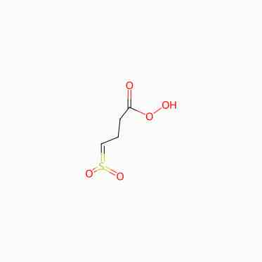 O=C(CCC=S(=O)=O)OO